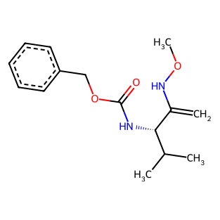 C=C(NOC)[C@@H](NC(=O)OCc1ccccc1)C(C)C